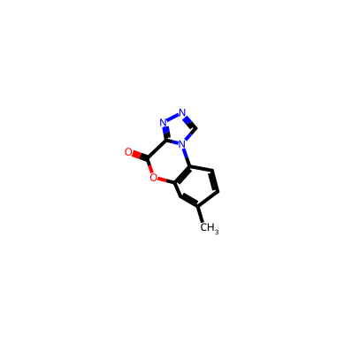 Cc1ccc2c(c1)oc(=O)c1nncn12